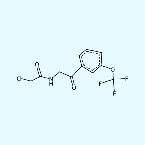 O=C(CCl)NCC(=O)c1cccc(OC(F)(F)F)c1